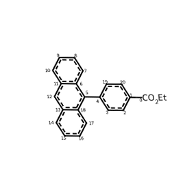 CCOC(=O)c1ccc(-c2c3ccccc3cc3ccccc23)cc1